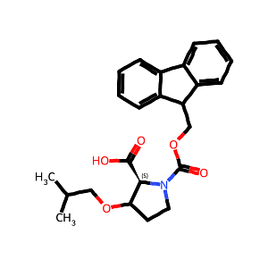 CC(C)COC1CCN(C(=O)OCC2c3ccccc3-c3ccccc32)[C@@H]1C(=O)O